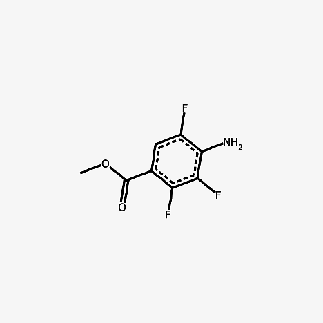 COC(=O)c1cc(F)c(N)c(F)c1F